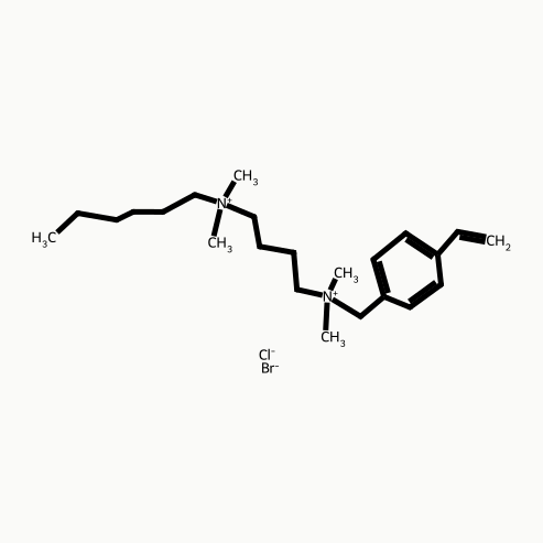 C=Cc1ccc(C[N+](C)(C)CCCC[N+](C)(C)CCCCCC)cc1.[Br-].[Cl-]